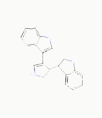 c1ccc2c(c1)NCC2c1c[nH]cc1-c1c[nH]c2ccccc12